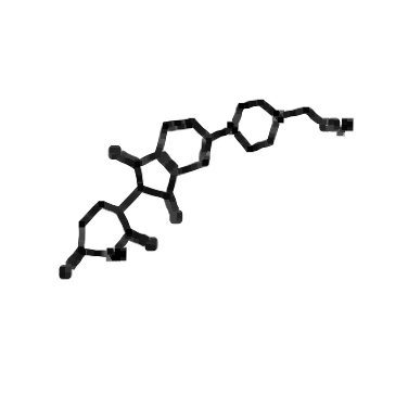 O=C(O)CN1CCN(c2ccc3c(c2)C(=O)C(C2CCC(=O)NC2=O)C3=O)CC1